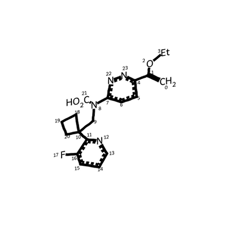 C=C(OCC)c1ccc(N(CC2(c3ncccc3F)CCC2)C(=O)O)nn1